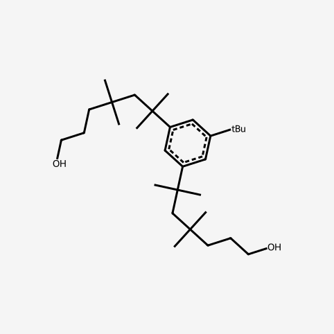 CC(C)(CCCO)CC(C)(C)c1cc(C(C)(C)C)cc(C(C)(C)CC(C)(C)CCCO)c1